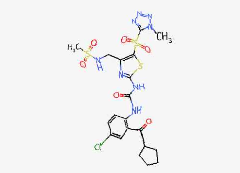 Cn1nnnc1S(=O)(=O)c1sc(NC(=O)Nc2ccc(Cl)cc2C(=O)C2CCCC2)nc1CNS(C)(=O)=O